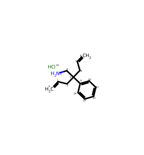 C=CCC(CN)(CC=C)c1ccccc1.Cl